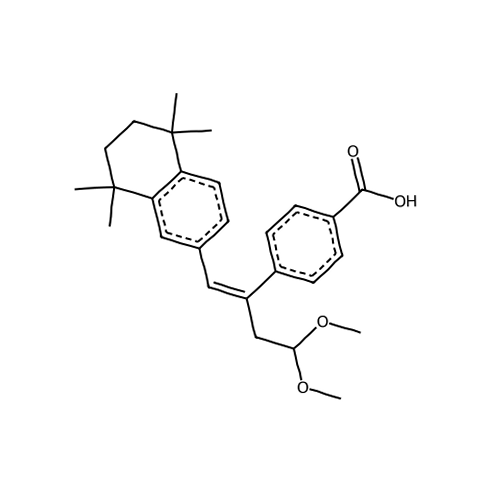 COC(C/C(=C/c1ccc2c(c1)C(C)(C)CCC2(C)C)c1ccc(C(=O)O)cc1)OC